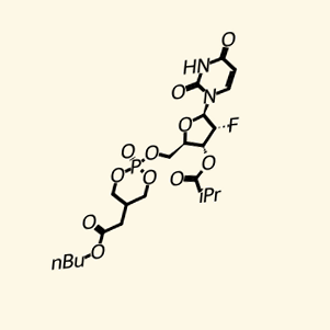 CCCCOC(=O)CC1COP(=O)(OC[C@H]2O[C@@H](n3ccc(=O)[nH]c3=O)[C@H](F)[C@@H]2OC(=O)C(C)C)OC1